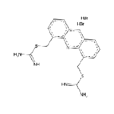 Br.Br.N=C(N)SCc1cccc2cc3cccc(CSC(=N)N)c3nc12